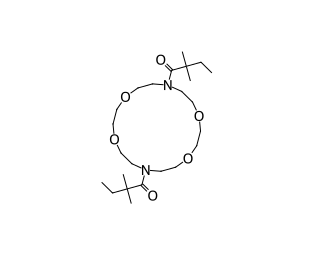 CCC(C)(C)C(=O)N1CCOCCOCCN(C(=O)C(C)(C)CC)CCOCCOCC1